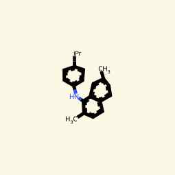 Cc1ccc2ccc(C)c(Nc3ccc(C(C)C)cc3)c2c1